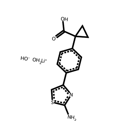 Nc1nc(-c2ccc(C3(C(=O)O)CC3)cc2)cs1.O.[Li+].[OH-]